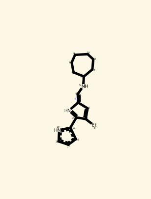 CCC1=C/C(=C\NC2CCCCCC2)N=C1c1ccc[nH]1